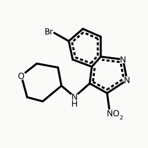 O=[N+]([O-])c1nnc2ccc(Br)cc2c1NC1CCOCC1